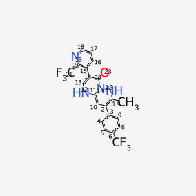 CC1=C(c2ccc(C(F)(F)F)cc2)C=C2NC=C(c3cccnc3C(F)(F)F)C(=O)N2N1